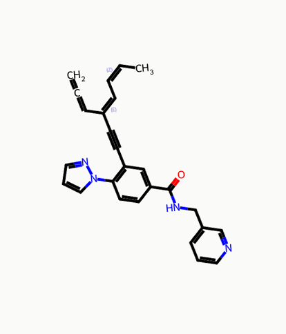 C=C=C/C(C#Cc1cc(C(=O)NCc2cccnc2)ccc1-n1cccn1)=C\C=C/C